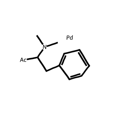 CC(=O)C(Cc1ccccc1)N(C)C.[Pd]